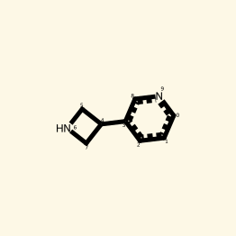 [c]1ccc(C2CNC2)cn1